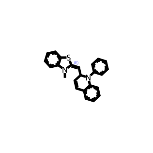 CN1/C(=C\C2C=Cc3ccccc3N2c2ccccc2)Sc2ccccc21